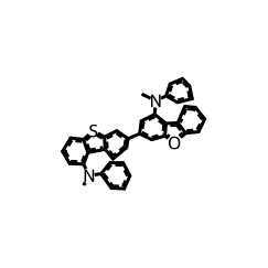 CN(c1ccccc1)c1cc(-c2ccc3c(c2)sc2cccc(N(C)c4ccccc4)c23)cc2oc3ccccc3c12